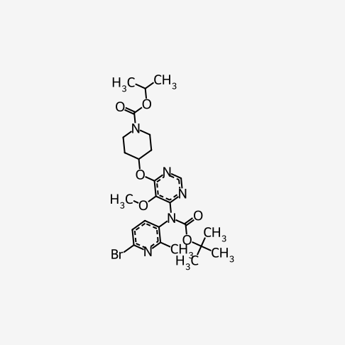 COc1c(OC2CCN(C(=O)OC(C)C)CC2)ncnc1N(C(=O)OC(C)(C)C)c1ccc(Br)nc1C